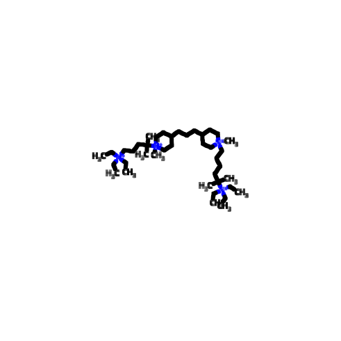 CC[N+](CC)(CC)CCCC(C)(C)[N+]1(C)CCC(CCCC2CC[N+](C)(CCCCC(C)(C)[N+](CC)(CC)CC)CC2)CC1